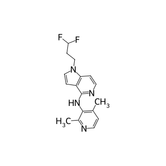 Cc1ccnc(C)c1Nc1nccc2c1ccn2CCC(F)F